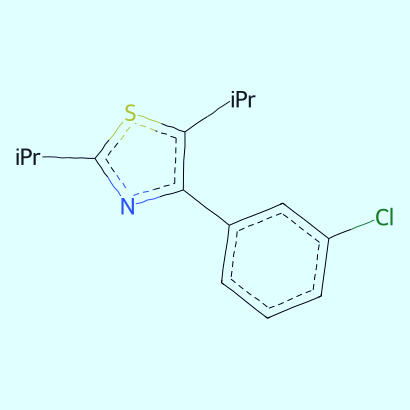 CC(C)c1nc(-c2cccc(Cl)c2)c(C(C)C)s1